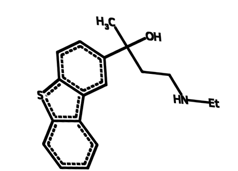 CCNCCC(C)(O)c1ccc2sc3ccccc3c2c1